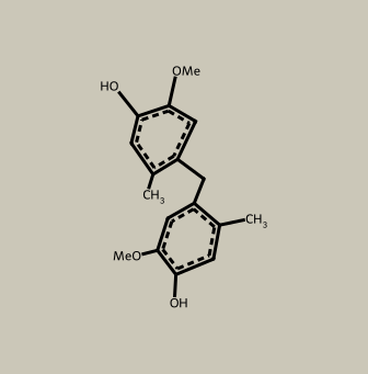 COc1cc(Cc2cc(OC)c(O)cc2C)c(C)cc1O